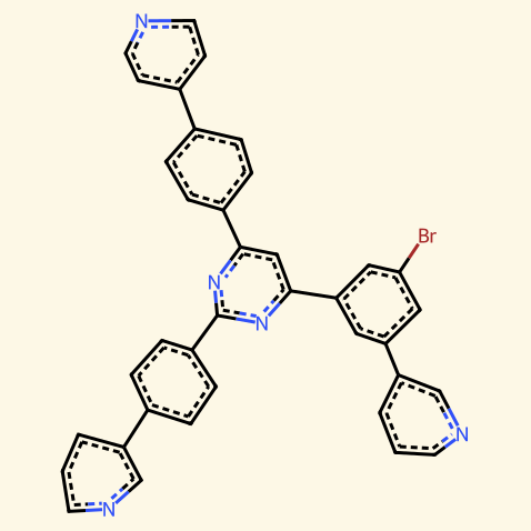 Brc1cc(-c2cccnc2)cc(-c2cc(-c3ccc(-c4ccncc4)cc3)nc(-c3ccc(-c4cccnc4)cc3)n2)c1